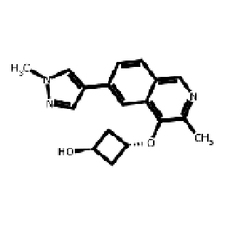 Cc1ncc2ccc(-c3cnn(C)c3)cc2c1O[C@H]1C[C@H](O)C1